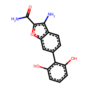 NC(=O)c1oc2cc(-c3c(O)cccc3O)ccc2c1N